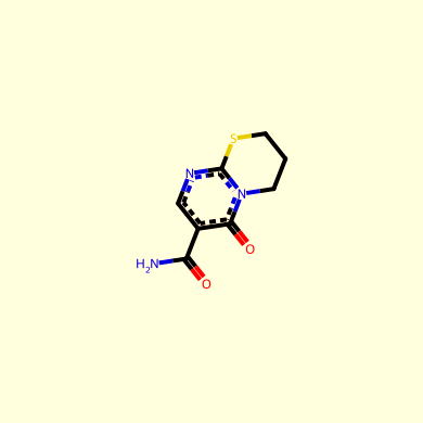 NC(=O)c1cnc2n(c1=O)CCCS2